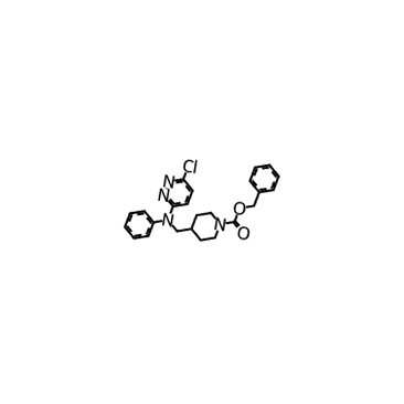 O=C(OCc1ccccc1)N1CCC(CN(c2ccccc2)c2ccc(Cl)nn2)CC1